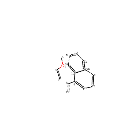 C=COC.C=Cc1cccc2ccccc12